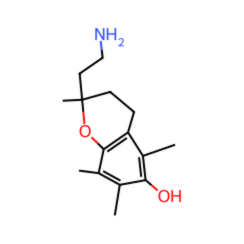 Cc1c(C)c2c(c(C)c1O)CCC(C)(CCN)O2